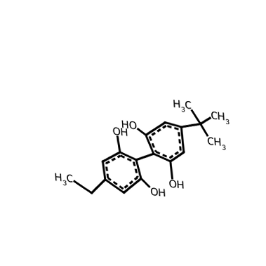 CCc1cc(O)c(-c2c(O)cc(C(C)(C)C)cc2O)c(O)c1